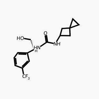 O=C(NC1CC2(CC2)C1)N[C@@H](CO)c1cccc(C(F)(F)F)c1